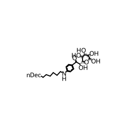 CCCCCCCCCCCCCCCCNc1ccc(C(=O)C(O)[C@H]2O[C@H](O)[C@H](O)[C@@H](O)[C@@H]2O)cc1